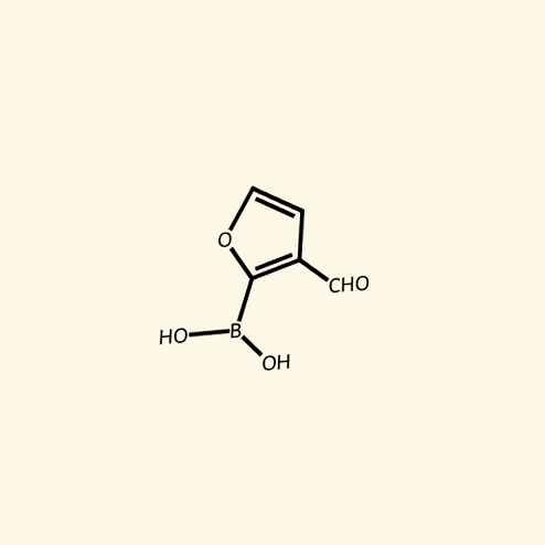 O=Cc1ccoc1B(O)O